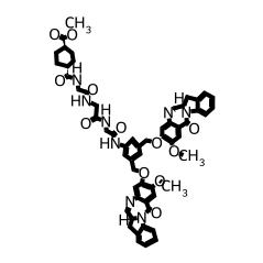 COc1cc2c(cc1OCc1cc(COc3cc4c(cc3OC)C(=O)N3c5ccccc5C[C@H]3C=N4)cc(NC(=O)CNC(=O)CNC(=O)CNC(=O)[C@H]3CC[C@H](C(=O)OC)CC3)c1)N=C[C@@H]1Cc3ccccc3N1C2=O